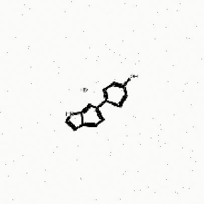 Br.Oc1ccc(-c2ccc3cc[nH]c3c2)cc1